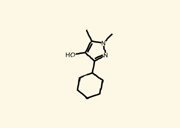 Cc1c(O)c(C2CCCCC2)nn1C